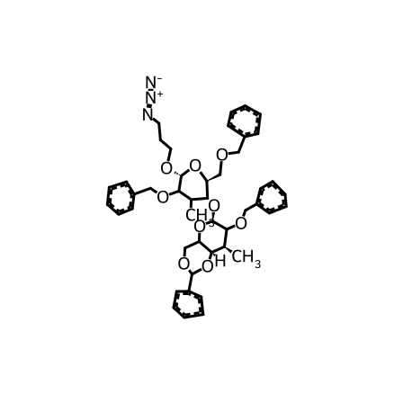 CC1C(OCc2ccccc2)[C@H](OCCCN=[N+]=[N-])O[C@@H](COCc2ccccc2)[C@H]1O[C@@H]1OC2COC(c3ccccc3)O[C@@H]2[C@H](C)C1OCc1ccccc1